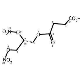 O=C(O)CCC(=O)OC[C@H](CO[N+](=O)[O-])O[N+](=O)[O-]